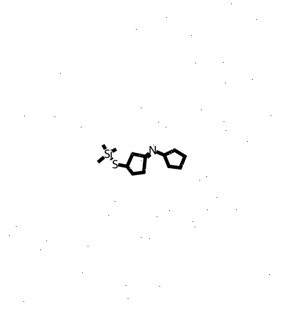 C[Si](C)(C)SC1CCC(=NC2CCCC2)C1